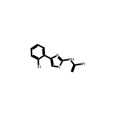 C=C(Nc1nc(-c2ccccc2CC)cs1)C(C)C